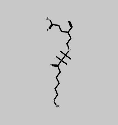 C=CC(CCOC(C)(C)C(C)(C)C(=O)CCCCCOC(C)(C)C)CCC(=O)C(C)(C)C